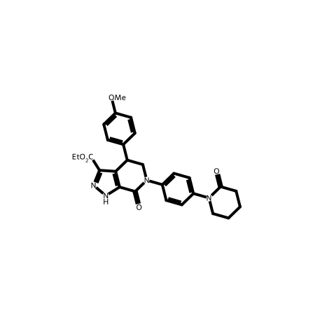 CCOC(=O)c1n[nH]c2c1C(c1ccc(OC)cc1)CN(c1ccc(N3CCCCC3=O)cc1)C2=O